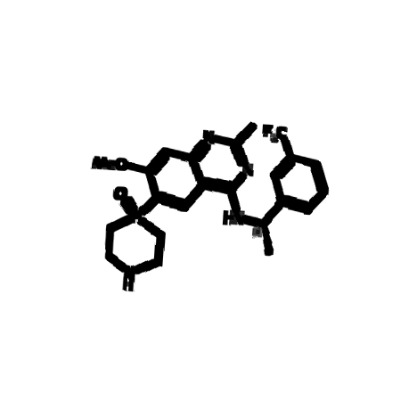 COc1cc2nc(C)nc(N[C@H](C)c3cccc(C(F)(F)F)c3)c2cc1P1(=O)CCNCC1